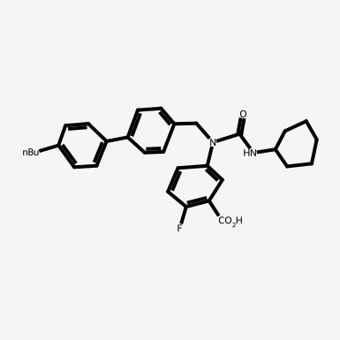 CCCCc1ccc(-c2ccc(CN(C(=O)NC3CCCCC3)c3ccc(F)c(C(=O)O)c3)cc2)cc1